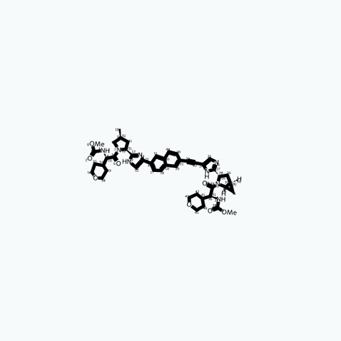 COC(=O)N[C@H](C(=O)N1C[C@@H](C)C[C@H]1c1nc(-c2ccc3cc(C#Cc4cnc([C@@H]5C[C@H]6C[C@H]6N5C(=O)[C@@H](NC(=O)OC)C5CCOCC5)[nH]4)ccc3c2)c[nH]1)C1CCOCC1